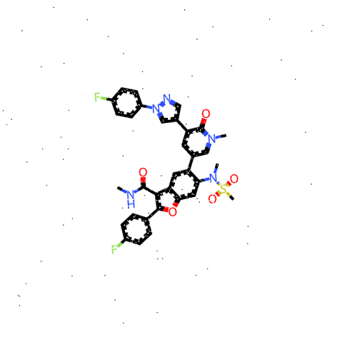 CNC(=O)c1c(-c2ccc(F)cc2)oc2cc(N(C)S(C)(=O)=O)c(-c3cc(-c4cnn(-c5ccc(F)cc5)c4)c(=O)n(C)c3)cc12